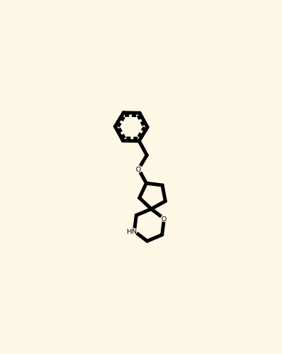 c1ccc(COC2CCC3(CNCCO3)C2)cc1